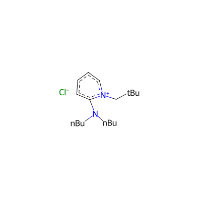 CCCCN(CCCC)c1cccc[n+]1CC(C)(C)C.[Cl-]